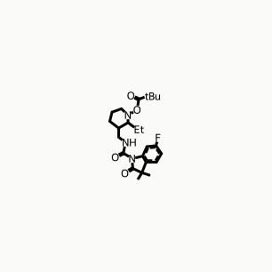 CCC1C(CNC(=O)N2C(=O)C(C)(C)c3ccc(F)cc32)CCCN1OC(=O)C(C)(C)C